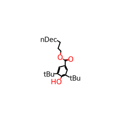 CCCCCCCCCCCCCOC(=O)c1cc(C(C)(C)C)c(O)c(C(C)(C)C)c1